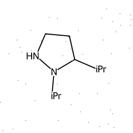 CC(C)C1CCNN1C(C)C